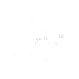 COc1ccc(S(=O)(=O)N(CC(N)=O)c2ccc(Cl)cc2C(O)c2ccc(F)cc2F)cc1OC